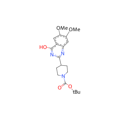 COc1cc2nc(C3CCN(C(=O)OC(C)(C)C)CC3)nc(O)c2cc1OC